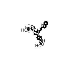 O=C(O)C(F)(F)F.O=C(O)CNc1ccc(-c2cnc(N3CCOCC3)c3nc(/C=C/c4ccc5ccccc5n4)cn23)cn1